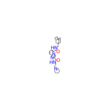 O=C(NCCN1CCCCC1)c1cn2c(C(=O)NCC34CC5CC(C3)C53CC3C4)cccc2n1